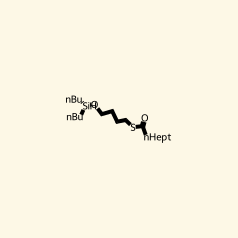 CCCCCCCC(=O)SCCCCO[SiH](CCCC)CCCC